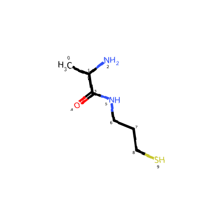 CC(N)C(=O)NCCCS